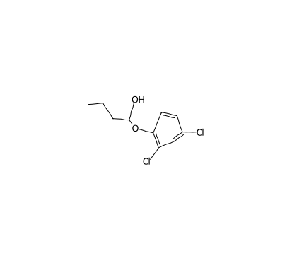 CCCC(O)Oc1ccc(Cl)cc1Cl